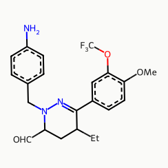 CCC1CC(C=O)N(Cc2ccc(N)cc2)N=C1c1ccc(OC)c(OC(F)(F)F)c1